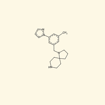 Cc1cc(CN2CCCC23CCNCC3)cc(-n2cccn2)c1